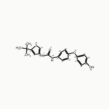 CC(C)(C)c1cc(NC(=O)Nc2ccc(Oc3ccc(O)cc3)cc2)cs1